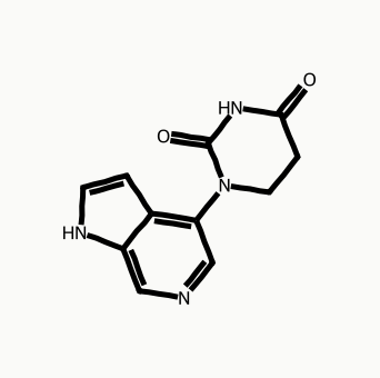 O=C1CCN(c2cncc3[nH]ccc23)C(=O)N1